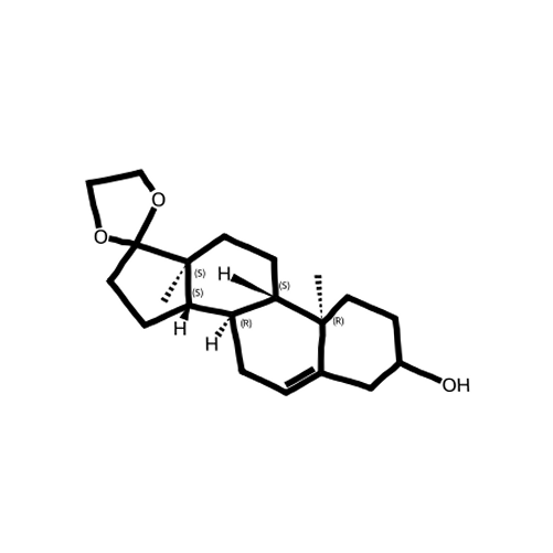 C[C@]12CCC(O)CC1=CC[C@@H]1[C@@H]2CC[C@@]2(C)[C@H]1CCC21OCCO1